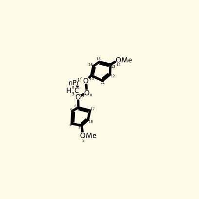 CCCC.COc1ccc(OOOc2ccc(OC)cc2)cc1